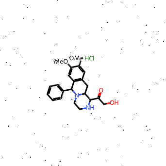 COc1cc2c(cc1OC)C(c1ccccc1)N1CCNC(C(=O)CO)C1C2.Cl